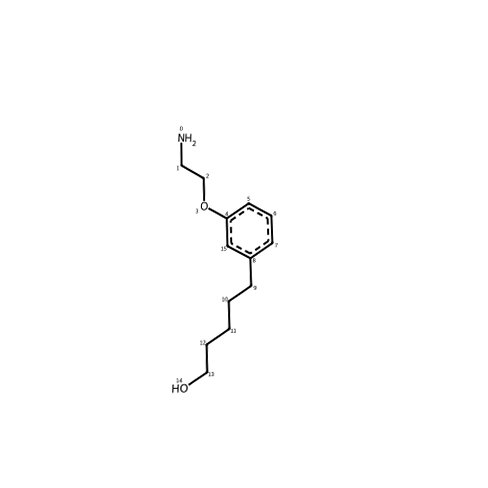 NCCOc1cccc(CCCCCO)c1